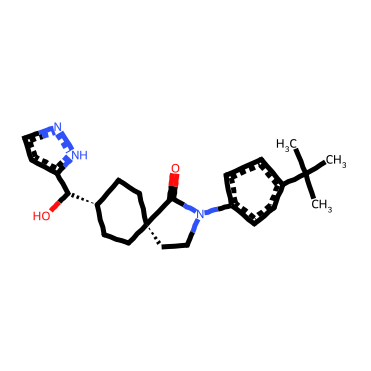 CC(C)(C)c1ccc(N2CC[C@]3(CC[C@@H](C(O)c4ccn[nH]4)CC3)C2=O)cc1